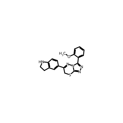 COc1ccccc1-c1nnc2n1N=C(c1ccc3c(c1)CCN3)CS2